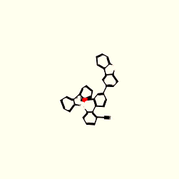 N#Cc1cc(-c2ccc3oc4ccccc4c3c2)ccc1-c1c(C#N)cccc1-n1c2ccccc2c2ccccc21